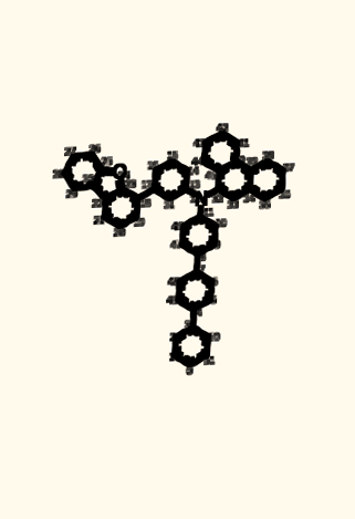 c1ccc(-c2ccc(-c3ccc(N(c4cccc(-c5cccc6c5oc5ccccc56)c4)c4cc5ccccc5c5ccccc45)cc3)cc2)cc1